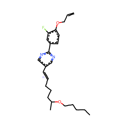 C=CCOc1ccc(-c2ncc(/C=C/CCCC(C)OCCCCC)cn2)cc1F